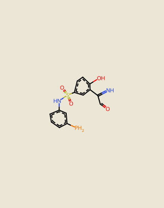 N=C(C=O)c1cc(S(=O)(=O)Nc2cccc(P)c2)ccc1O